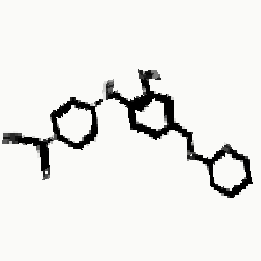 Nc1cc(COC2CCCCO2)ccc1N[C@H]1CC[C@@H](C(=O)O)CC1